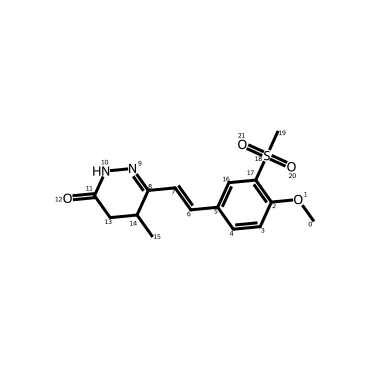 COc1ccc(C=CC2=NNC(=O)CC2C)cc1S(C)(=O)=O